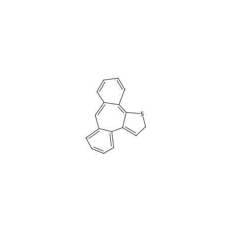 C1=C2C(=c3ccccc3=Cc3ccccc32)SC1